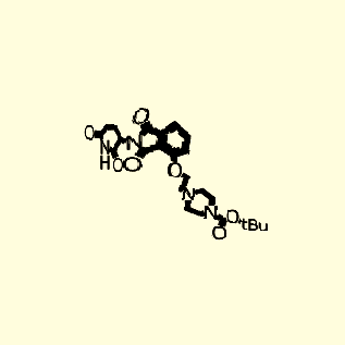 CC(C)(C)OC(=O)N1CCN(CCOc2cccc3c2C(=O)N(C2CCC(=O)NC2=O)C3=O)CC1